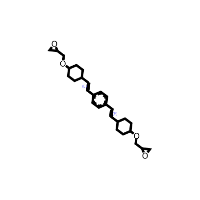 C(=C\C1CCC(OCC2CO2)CC1)/c1ccc(/C=C/C2CCC(OCC3CO3)CC2)cc1